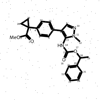 COC(=O)C1(c2ccc(-c3cnn(C)c3NC(=O)OC(C)c3ccccc3)cc2)CC1